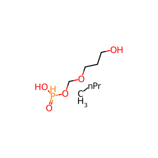 CCCC.O=[PH](O)OCOCCCO